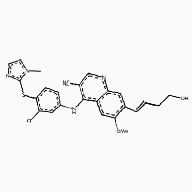 COc1cc2c(Nc3ccc(Sc4nccn4C)c(Cl)c3)c(C#N)cnc2cc1C=CCCO